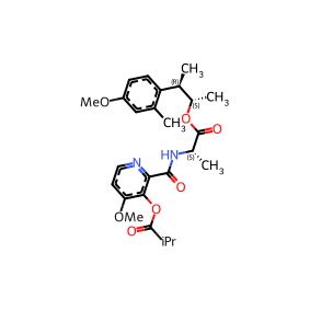 COc1ccc([C@@H](C)[C@H](C)OC(=O)[C@H](C)NC(=O)c2nccc(OC)c2OC(=O)C(C)C)c(C)c1